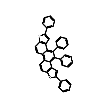 c1ccc(-c2cc3c(ccc4c5ccc6sc(-c7ccccc7)cc6c5c(-c5ccccc5)c(-c5ccccc5)c34)s2)cc1